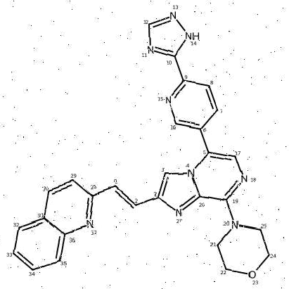 C(=Cc1cn2c(-c3ccc(-c4ncn[nH]4)nc3)cnc(N3CCOCC3)c2n1)c1ccc2ccccc2n1